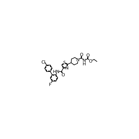 CCOC(=O)NC(=O)N1CCC(c2nc(C(=O)Nc3ccc(F)cc3-c3ccc(Cl)cc3)cs2)CC1